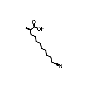 C=C(CCCCCCCCCC#N)C(=O)O